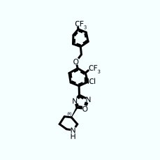 Cl.FC(F)(F)c1ccc(COc2ccc(-c3noc([C@@H]4CCCNC4)n3)cc2C(F)(F)F)cc1